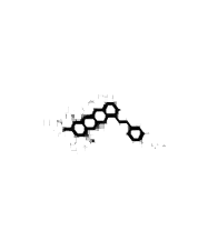 COc1ccc(CCc2ccc(O)c3c2C[C@H]2C[C@@H]4[C@@H](N(C)C)C(O)=C(C(N)=O)C(=O)[C@@]4(O)C(O)=C2C3=O)cc1